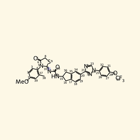 COc1ccc(N2C(=O)CS/C2=N\C(=O)NC2Cc3ccc(-c4ncn(-c5ccc(OC(F)(F)F)cc5)n4)cc3C2)c(C)c1